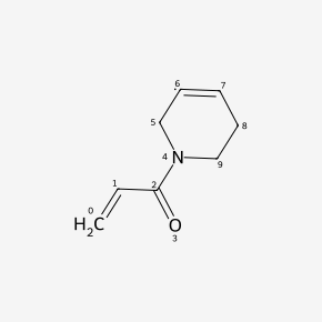 C=CC(=O)N1C[C]=CCC1